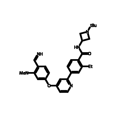 CCc1cc(-c2cc(Oc3ccc(C=N)c(NC)c3)ccn2)ccc1C(=O)NC1CN(C(C)(C)C)C1